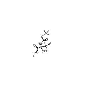 CCOC(=O)C(O)(NC(=O)OC(C)(C)C)C(F)(F)F